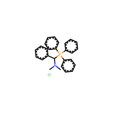 CN(C)C(c1ccccc1)[P+](c1ccccc1)(c1ccccc1)c1ccccc1.[Cl-]